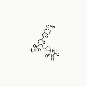 COc1ccc2oc(-c3ccc(S(N)(=O)=O)c(CC4CCC5(C4)NC(=O)NC5=O)n3)cc2c1